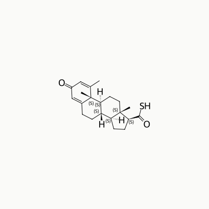 CC1=CC(=O)C=C2CC[C@@H]3[C@H](CC[C@]4(C)[C@@H](C(=O)S)CC[C@@H]34)[C@@]12C